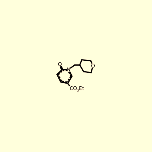 CCOC(=O)c1ccc(=O)n(CC2CCOCC2)c1